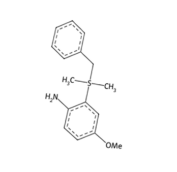 COc1ccc(N)c(S(C)(C)Cc2ccccc2)c1